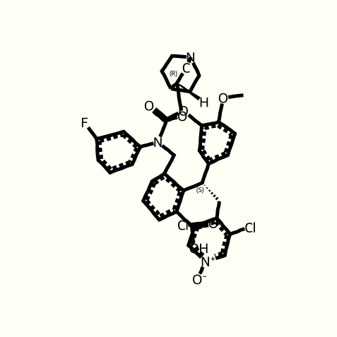 COc1ccc([C@H](Cc2c(Cl)c[n+]([O-])cc2Cl)c2c(CN(C(=O)O[C@H]3CN4CCC3CC4)c3cccc(F)c3)cccc2C(=O)O)cc1OC